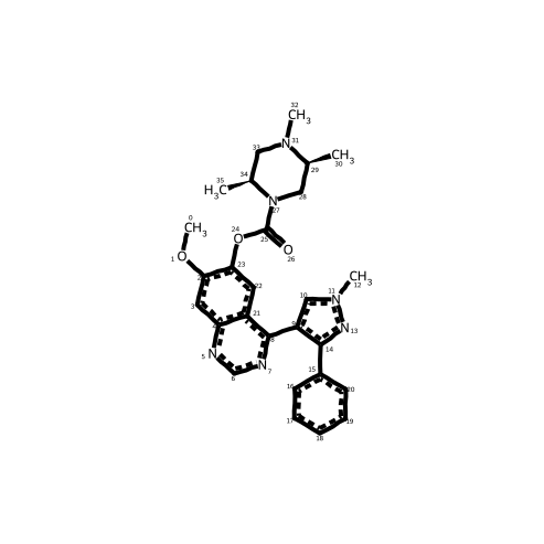 COc1cc2ncnc(-c3cn(C)nc3-c3ccccc3)c2cc1OC(=O)N1C[C@H](C)N(C)C[C@@H]1C